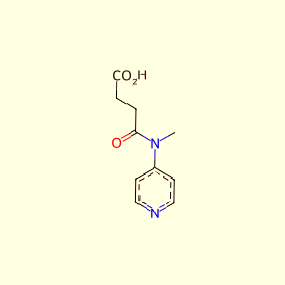 CN(C(=O)CCC(=O)O)c1ccncc1